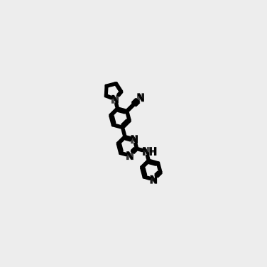 N#Cc1cc(-c2ccnc(Nc3ccncc3)n2)ccc1N1CCCC1